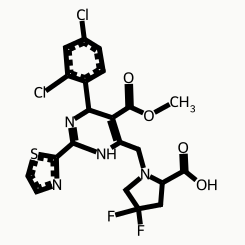 COC(=O)C1=C(CN2CC(F)(F)CC2C(=O)O)NC(c2nccs2)=NC1c1ccc(Cl)cc1Cl